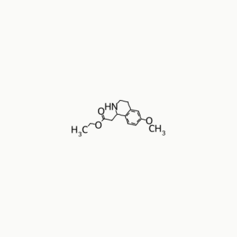 CCOC(=O)CC1NCCc2cc(OC)ccc21